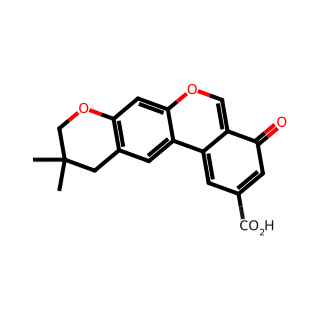 CC1(C)COc2cc3occ4c(=O)cc(C(=O)O)cc-4c3cc2C1